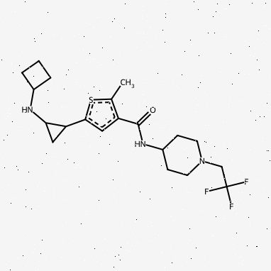 Cc1sc(C2CC2NC2CCC2)cc1C(=O)NC1CCN(CC(F)(F)F)CC1